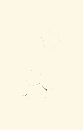 Cc1ccc(S(=O)(=O)O[C@@H]2C[C@@H](C(=O)O)N(C(=O)O)C2)cc1